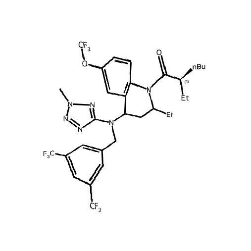 CCCC[C@@H](CC)C(=O)N1c2ccc(OC(F)(F)F)cc2C(N(Cc2cc(C(F)(F)F)cc(C(F)(F)F)c2)c2nnn(C)n2)CC1CC